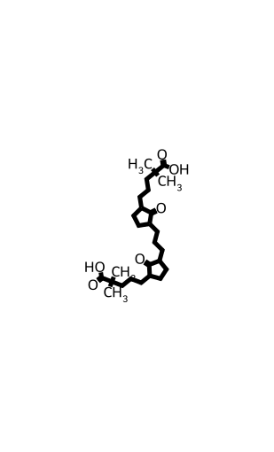 CC(C)(CCCC1CCC(CCCC2CCC(CCCC(C)(C)C(=O)O)C2=O)C1=O)C(=O)O